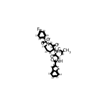 CC(C)C[C@H](NC(=O)c1cc2ccccc2s1)C(=O)N[C@@H]1CCCN(S(=O)(=O)c2ccc(F)cc2)CC1=O